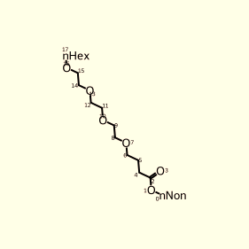 CCCCCCCCCOC(=O)CCCOCCOCCOCCOCCCCCC